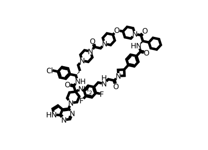 NC1(C(=O)N[C@@H](CCN2CCN(C(=O)CN3CCC(OC4CCN(C(=O)[C@H](NC(=O)c5ccc(C6CN(C(=O)CNCc7ccc(F)cc7F)C6)cc5)C5CCCCC5)CC4)CC3)CC2)c2ccc(Cl)cc2)CCN(c2ncnc3[nH]ccc23)CC1